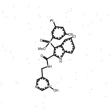 COP(=O)(c1cc(C#N)cc(C(C)C)c1)c1c(C(=O)NCc2cnc[n+](O)c2)[nH]c2ccc(Cl)cc12